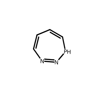 C1=CN=NPC=C1